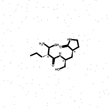 CCC[C@@H](C(=O)N[C@H](CO)C[C@@H]1CCNC1=O)C(N)[SiH3]